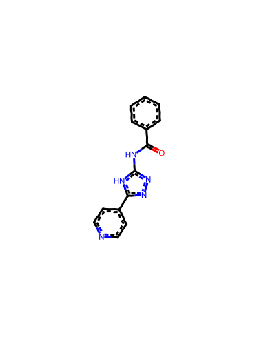 O=C(Nc1nnc(-c2ccncc2)[nH]1)c1ccccc1